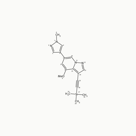 COc1cc(-c2cnn(C)c2)cn2ncc(C#C[Si](C)(C)C)c12